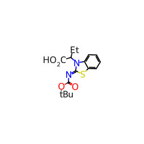 CCC(C(=O)O)n1c(=NC(=O)OC(C)(C)C)sc2ccccc21